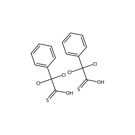 OC(=S)C(Cl)(Cl)c1ccccc1.OC(=S)C(Cl)(Cl)c1ccccc1